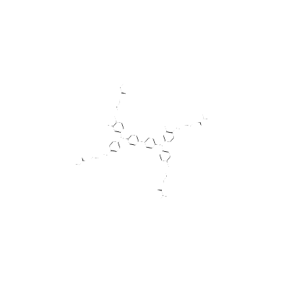 CCC(=O)OCCOCc1ccc(N(c2ccc(-c3ccc(N(c4ccc(COCCOC(=O)C(C)C)cc4)c4ccc(COCCOC(=O)C(C)C)c(C)c4)cc3)cc2)c2ccc(COCCOC(=O)CC)c(C)c2)cc1